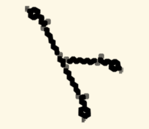 O=C(C=Cc1ccc(F)cc1)OCCCCCCCCOCC(COCCCCCCCCOC(=O)C=Cc1ccc(F)cc1)OCCCCCCCCOC(=O)C=Cc1ccc(F)cc1